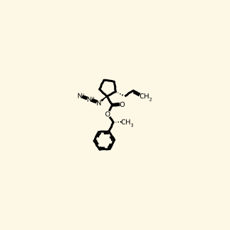 C=CC[C@H]1CCC[C@@]1(N=[N+]=[N-])C(=O)O[C@H](C)c1ccccc1